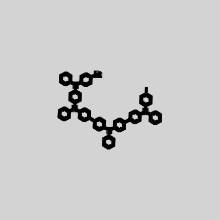 CCc1ccc(N(c2ccccc2)c2ccc(N(c3ccccc3)c3ccc(-c4ccc(N(c5ccccc5)c5ccc(-c6ccc(N(c7ccccc7)c7ccc(C)cc7)cc6)cc5)cc4)cc3)cc2)cc1